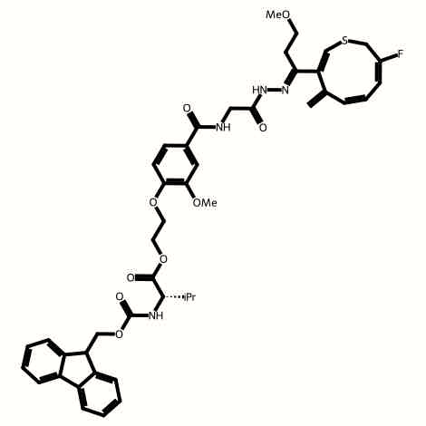 C=C1/C=C\C=C(\F)CS/C=C1/C(CCOC)=N/NC(=O)CNC(=O)c1ccc(OCCOC(=O)[C@@H](NC(=O)OCC2c3ccccc3-c3ccccc32)C(C)C)c(OC)c1